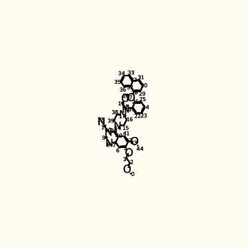 COCCOC1=CC2N=CN(C#N)C(N3CCN(N(C=O)c4ccccc4Oc4cccc5ccccc45)CC3)=C2C=C1OC